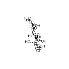 O=C(O)C1=NN(c2ccc(S(=O)(=O)O)cc2)C(=O)C1/N=N/c1ccc2c(O)c(/N=N/c3cc(OCCO)c(/N=N/c4ccc5ccccc5c4S(=O)(=O)O)cc3OCCO)c(S(=O)(=O)O)cc2c1